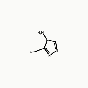 CCCc1nncn1N